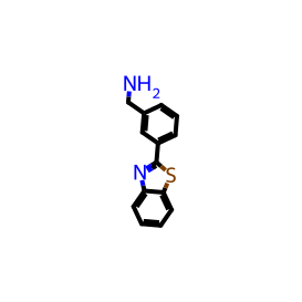 NCc1cccc(-c2nc3ccccc3s2)c1